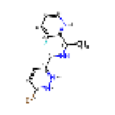 C[C@@H](NCc1ccc(Br)nn1)c1ncccc1F